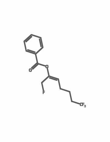 O=C(OC(=CCCCC(F)(F)F)CF)c1ccccc1